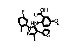 COc1ccc(Nc2c(-c3ccsc3)c(C)nn2-c2cc(F)ccc2C)c(C(=O)O)c1